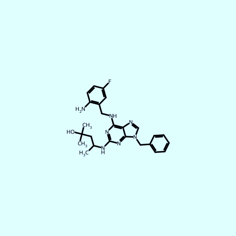 CC(CC(C)(C)O)Nc1nc(NCc2cc(F)ccc2N)c2ncn(Cc3ccccc3)c2n1